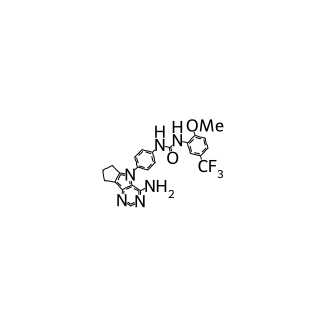 COc1ccc(C(F)(F)F)cc1NC(=O)Nc1ccc(-n2c3c(c4ncnc(N)c42)CCC3)cc1